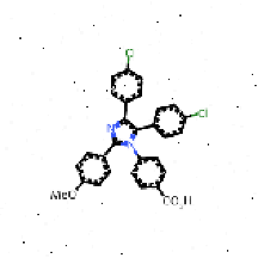 COc1ccc(-c2nc(-c3ccc(Cl)cc3)c(-c3ccc(Cl)cc3)n2-c2ccc(C(=O)O)cc2)cc1